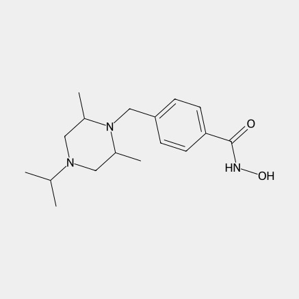 CC(C)N1CC(C)N(Cc2ccc(C(=O)NO)cc2)C(C)C1